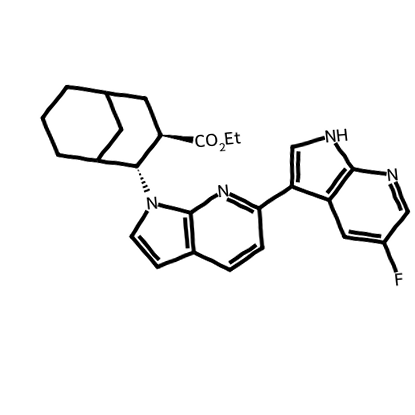 CCOC(=O)[C@@H]1CC2CCCC(C2)[C@H]1n1ccc2ccc(-c3c[nH]c4ncc(F)cc34)nc21